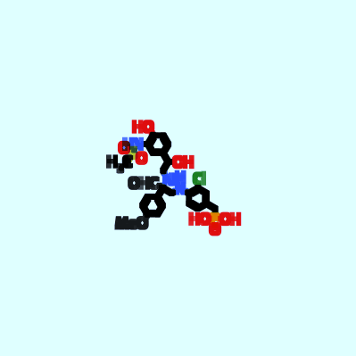 COc1ccc(C(C=O)(CNc2ccc(CP(=O)(O)O)cc2Cl)NCC(O)c2ccc(O)c(NS(C)(=O)=O)c2)cc1